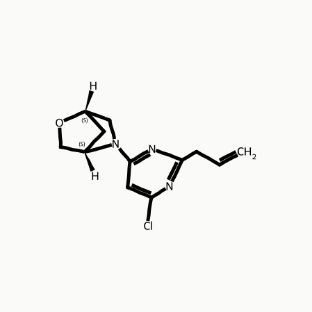 C=CCc1nc(Cl)cc(N2C[C@@H]3C[C@H]2CO3)n1